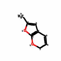 Cc1[c]c2c(o1)OCC=C2